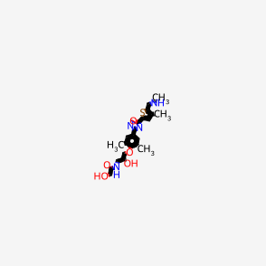 CNCc1sc(-c2nc(-c3cc(C)c(OC[C@@H](O)CNC(=O)CO)c(C)c3)no2)cc1C